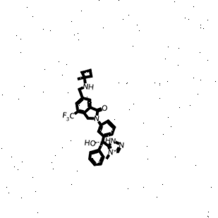 C[n+]1cn[nH]c1[C@@](O)(c1ccccc1)c1cccc(N2Cc3c(cc(CNC4(C)CCC4)cc3C(F)(F)F)C2=O)c1